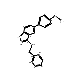 FC(F)(F)Oc1ccc(-c2ccc3onc(OCc4ncccn4)c3c2)cc1